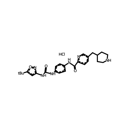 CC(C)(C)c1cc(NC(=O)Nc2ccc(NC(=O)c3ccc(CC4CCNCC4)cn3)cc2)no1.Cl